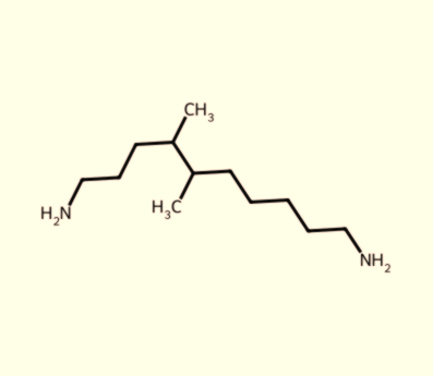 CC(CCCN)C(C)CCCCCN